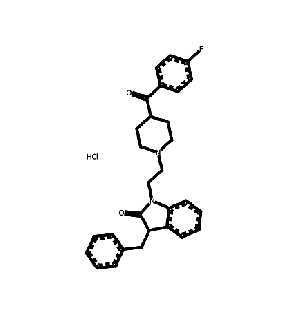 Cl.O=C(c1ccc(F)cc1)C1CCN(CCN2C(=O)C(Cc3ccccc3)c3ccccc32)CC1